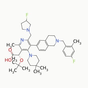 Cc1cc(F)ccc1CN1CCc2cc(-c3c(CN4CCC(F)C4)nc(C)c([C@H](OC(C)(C)C)C(=O)O)c3N3CCC(C)(C)CC3)ccc2C1